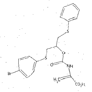 C=C(NC(=O)OC(CSc1ccccc1)CSc1ccc(Br)cc1)C(=O)OCC